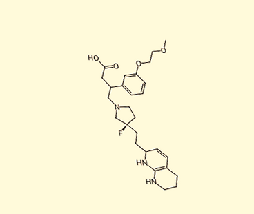 COCCOc1cccc(C(CC(=O)O)CN2CC[C@](F)(CCC3C=CC4=C(NCCC4)N3)C2)c1